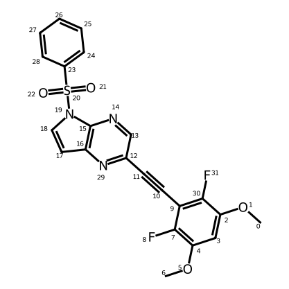 COc1cc(OC)c(F)c(C#Cc2cnc3c(ccn3S(=O)(=O)c3ccccc3)n2)c1F